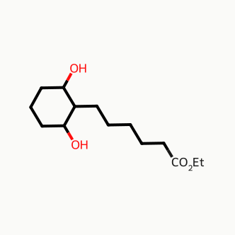 CCOC(=O)CCCCCC1C(O)CCCC1O